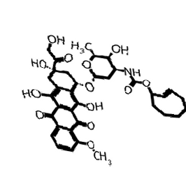 COc1cccc2c1C(=O)c1c(O)c3c(c(O)c1C2=O)C[C@@](O)(C(=O)CO)C[C@@H]3O[C@H]1C[C@H](NC(=O)OC2/C=C/CCCCC2)[C@H](O)[C@H](C)O1